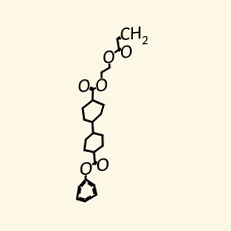 C=CC(=O)OCCOC(=O)C1CCC(C2CCC(C(=O)Oc3ccccc3)CC2)CC1